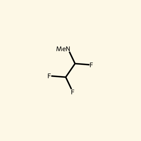 CNC(F)C(F)F